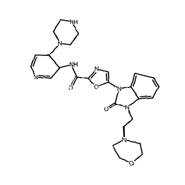 O=C(NC1C=NC=CC1N1CCNCC1)c1ncc(-n2c(=O)n(CCN3CCOCC3)c3ccccc32)o1